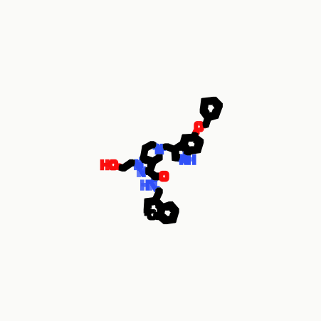 O=C(NCc1cccc2ccccc12)c1nn(CCO)c2c1CN(Cc1c[nH]c3ccc(OCc4ccccc4)cc13)CC2